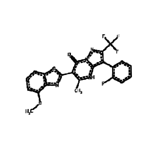 COc1cccc2oc(-c3c(C)[nH]c4c(-c5ccccc5F)c(C(F)(F)F)nn4c3=O)nc12